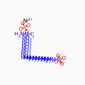 N.N.N.N.N.N.N.N.N.N.N.N.N.N.N.N.N[NH3+].N[NH3+].O=S(=O)([O-])[O-].O=S(=O)([O-])[O-].[Ni+2]